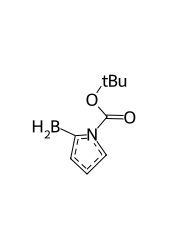 Bc1cccn1C(=O)OC(C)(C)C